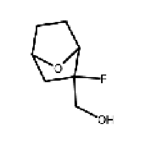 OCC1(F)CC2CCC1O2